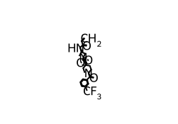 C=CC(=O)NC1CN(S(=O)(=O)C2CCN(C(=O)c3cccc(C(F)(F)F)c3)CC2)C1